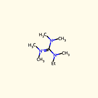 CCN(C)C(N(C)C)=[N+](C)C